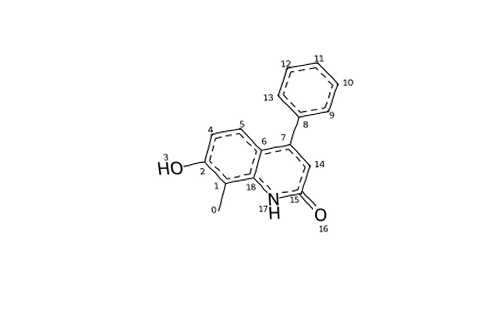 Cc1c(O)ccc2c(-c3ccccc3)cc(=O)[nH]c12